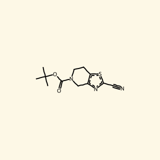 CC(C)(C)OC(=O)N1CCc2sc(C#N)nc2C1